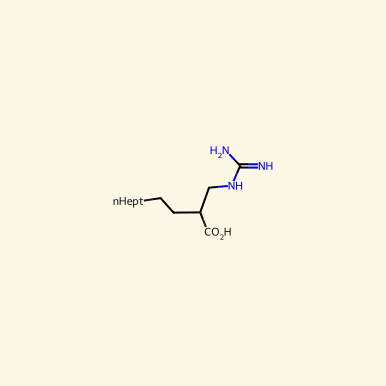 CCCCCCCCCC(CNC(=N)N)C(=O)O